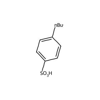 CCC[CH]c1ccc(S(=O)(=O)O)cc1